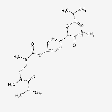 CNC(=O)C(OC(=O)C(C)C)c1ccc(OC(=O)N(C)CCN(C)C(=O)C(C)C)cc1